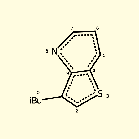 CCC(C)c1csc2cccnc12